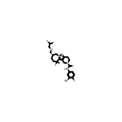 N#Cc1cc(NC(=O)N2CCc3nn4c(c3C2)C(F)(F)CC[C@@H](COCC(F)F)C4)ccc1F